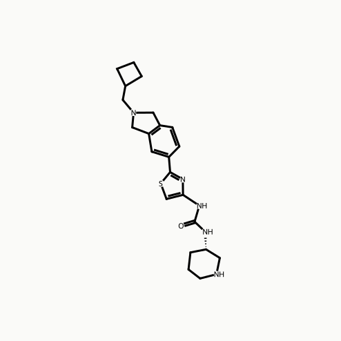 O=C(Nc1csc(-c2ccc3c(c2)CN(CC2CCC2)C3)n1)N[C@H]1CCCNC1